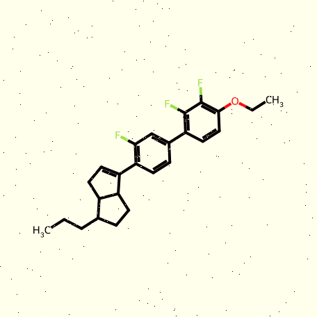 CCCC1CCC2C(c3ccc(-c4ccc(OCC)c(F)c4F)cc3F)=CCC12